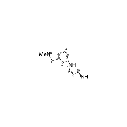 CNCc1cccc(N/C=C\C=N)c1